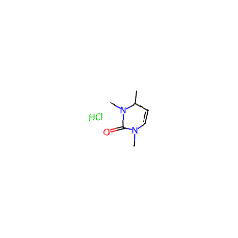 CC1C=CN(C)C(=O)N1C.Cl